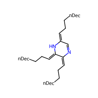 CCCCCCCCCCCCC=C1C=NC(=CCCCCCCCCCCCC)C(=CCCCCCCCCCCCC)N1